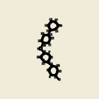 Cc1ccc(-c2ccc(Oc3ccc(-c4ccccc4)cc3)cc2)cc1